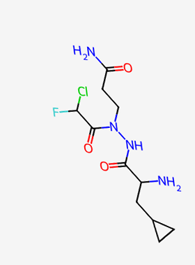 NC(=O)CCN(NC(=O)C(N)CC1CC1)C(=O)C(F)Cl